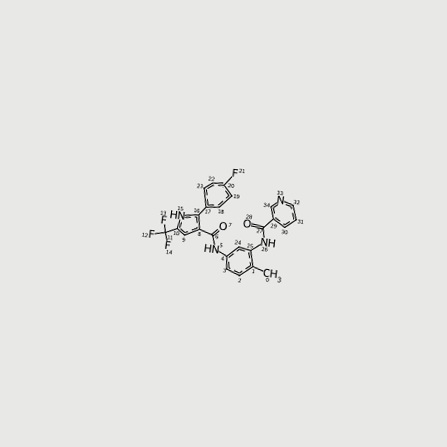 Cc1ccc(NC(=O)c2cc(C(F)(F)F)[nH]c2-c2ccc(F)cc2)cc1NC(=O)c1cccnc1